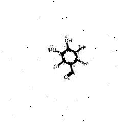 [2H]c1c([2H])c(C=O)c([2H])c(O)c1O